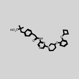 CC(C)(Cc1ccc(CC(=O)Nc2cncc(N3CCCC(Oc4ccccc4OC4CCC4)C3)n2)cc1)C(=O)O